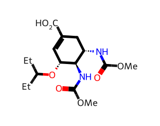 CCC(CC)O[C@@H]1C=C(C(=O)O)C[C@H](NC(=O)OC)[C@H]1NC(=O)OC